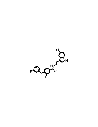 O=C(NCCc1c[nH]c2ccc(Cl)cc12)c1ccc(Cc2cccc(F)c2)c(F)c1